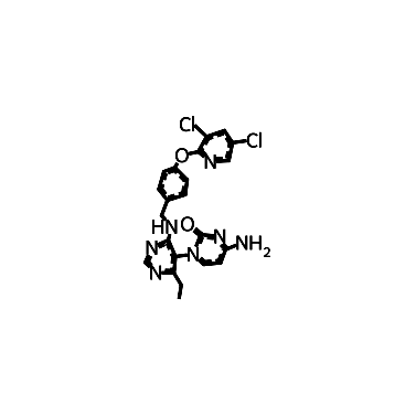 CCc1ncnc(NCc2ccc(Oc3ncc(Cl)cc3Cl)cc2)c1-n1ccc(N)nc1=O